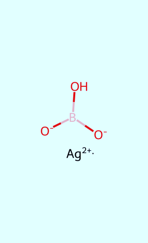 [Ag+2].[O-]B([O-])O